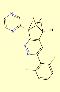 CC1(C)[C@H]2CC[C@]1(c1cnccn1)c1nnc(-c3c(F)cccc3F)cc12